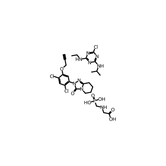 C#CCOc1cc(-n2nc3n(c2=O)CCCC3)c(Cl)cc1Cl.CCNc1nc(Cl)nc(NC(C)C)n1.O=C(O)CNCP(=O)(O)O